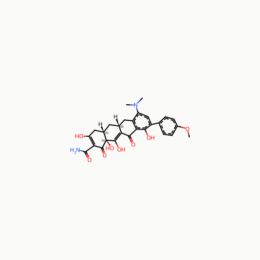 COc1ccc(-c2cc(N(C)C)c3c(c2O)C(=O)C2=C(O)[C@]4(O)C(=O)C(C(N)=O)=C(O)C[C@@H]4C[C@@H]2C3)cc1